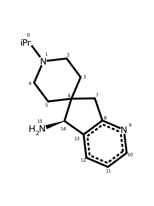 CC(C)N1CCC2(CC1)Cc1ncccc1[C@H]2N